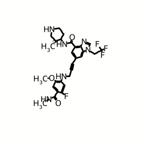 CNC(=O)c1cc(OC)c(NCC#Cc2cc(C(=O)NC3CCNC[C@@H]3C)c3ncn(CC(F)(F)F)c3c2)cc1F